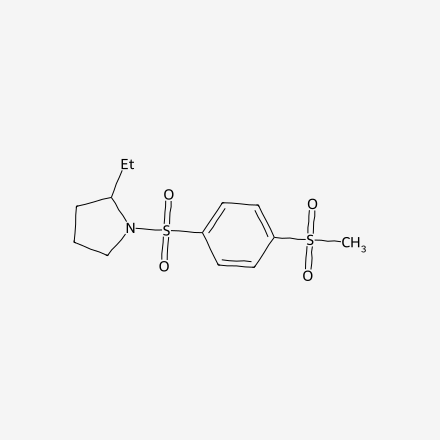 CCC1CCCN1S(=O)(=O)c1ccc(S(C)(=O)=O)cc1